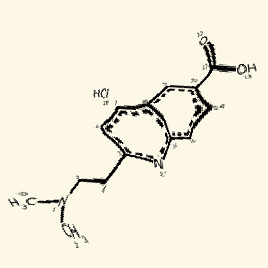 CN(C)CCc1ccc2cc(C(=O)O)ccc2n1.Cl